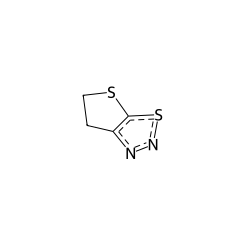 C1Cc2nnsc2S1